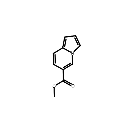 COC(=O)c1ccc2cccn2c1